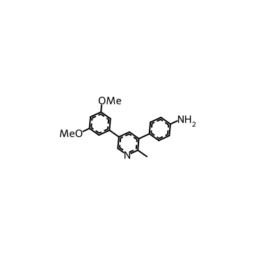 COc1cc(OC)cc(-c2cnc(C)c(-c3ccc(N)cc3)c2)c1